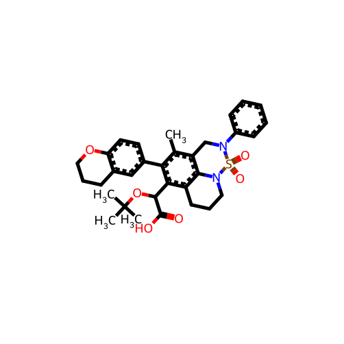 Cc1c2c3c(c(C(OC(C)(C)C)C(=O)O)c1-c1ccc4c(c1)CCCO4)CCCN3S(=O)(=O)N(c1ccccc1)C2